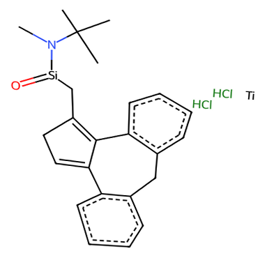 CN([Si](=O)CC1=C2C(=CC1)c1ccccc1Cc1ccccc12)C(C)(C)C.Cl.Cl.[Ti]